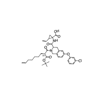 C=CCCCCC[C@H](C(=O)OC(C)(C)C)C(=O)N1Cc2ccc(Oc3cccc(Cl)c3)cc2CC1C(=O)NC1(C(=O)O)CC1C=C